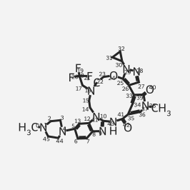 CN1CCN(c2ccc3nc4n(c3c2)CCN(CC(F)(F)F)CCOc2c(cnn2C2CC2)-c2cc(cn(C)c2=O)C(=O)N4)CC1